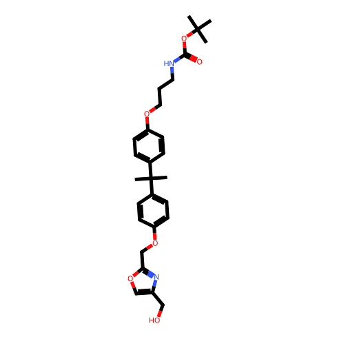 CC(C)(C)OC(=O)NCCCOc1ccc(C(C)(C)c2ccc(OCc3nc(CO)co3)cc2)cc1